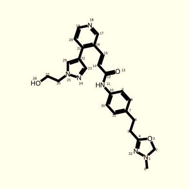 CN1COC(CCc2ccc(NC(=O)/C=C/c3cnccc3-c3cnn(CCO)c3)cc2)=N1